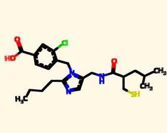 CCCCc1ncc(CNC(=O)C(CS)CC(C)C)n1Cc1ccc(C(=O)O)cc1Cl